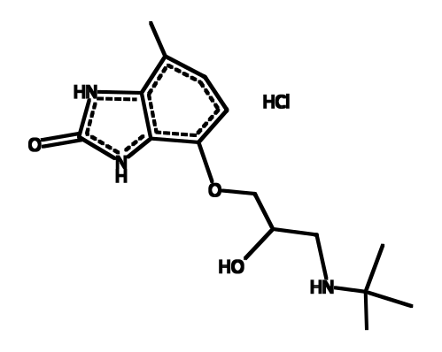 Cc1ccc(OCC(O)CNC(C)(C)C)c2[nH]c(=O)[nH]c12.Cl